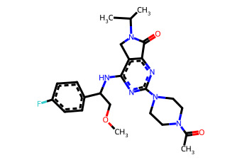 COCC(Nc1nc(N2CCN(C(C)=O)CC2)nc2c1CN(C(C)C)C2=O)c1ccc(F)cc1